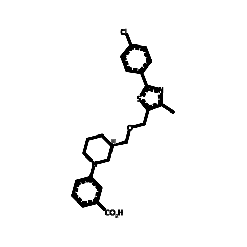 Cc1nc(-c2ccc(Cl)cc2)sc1COC[C@@H]1CCCN(c2cccc(C(=O)O)c2)C1